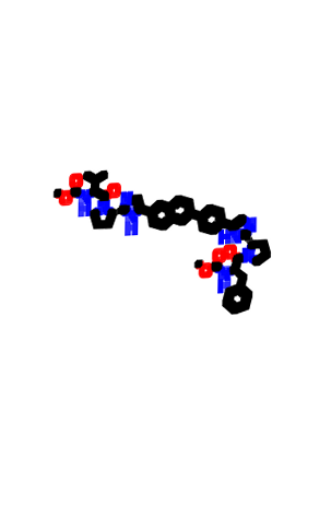 COC(=O)NC(C(=O)N1CCC[C@H]1c1ncc(-c2ccc3cc(-c4ccc(-c5cnc([C@@H]6CCCN6C(=O)[C@@H](Cc6ccccc6)NC(=O)OC)[nH]5)cc4)ccc3c2)[nH]1)C(C)C